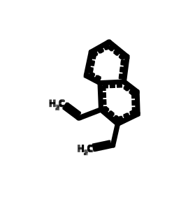 C=Cc1ccc2ccccc2c1C=C